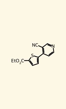 CCOC(=O)c1ccc(-c2ccncc2C#N)s1